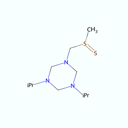 CC(C)N1CN(CS(C)=S)CN(C(C)C)C1